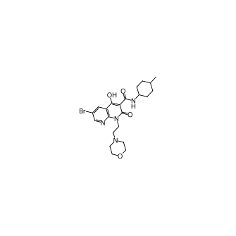 CC1CCC(NC(=O)c2c(O)c3cc(Br)cnc3n(CCN3CCOCC3)c2=O)CC1